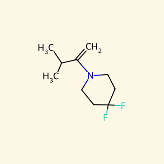 C=C(C(C)C)N1CCC(F)(F)CC1